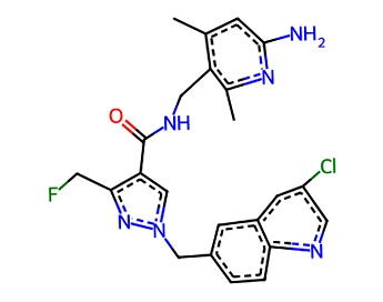 Cc1cc(N)nc(C)c1CNC(=O)c1cn(Cc2ccc3ncc(Cl)cc3c2)nc1CF